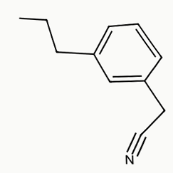 CCCc1cccc(CC#N)c1